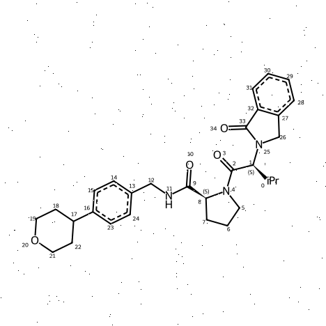 CC(C)[C@@H](C(=O)N1CCC[C@H]1C(=O)NCc1ccc(C2CCOCC2)cc1)N1Cc2ccccc2C1=O